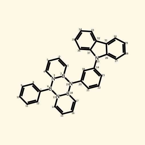 C1=CB2N(C=C1)B(c1ccccc1)N1C=CC=CB1N2c1cccc(-n2c3ccccc3c3ccccc32)c1